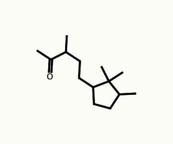 CC(=O)C(C)CCC1CCC(C)C1(C)C